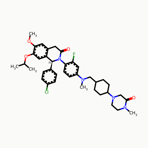 COc1cc2c(cc1OC(C)C)[C@H](c1ccc(Cl)cc1)N(c1ccc(N(C)CC3CCC(N4CCN(C)C(=O)C4)CC3)cc1F)C(=O)C2